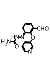 NC(=O)NN=C1CC=CC(C=O)=C1Oc1cccnc1